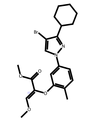 CO/C=C(\Oc1cc(-n2cc(Br)c(C3CCCCC3)n2)ccc1C)C(=O)OC